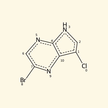 Clc1c[nH]c2ncc(Br)nc12